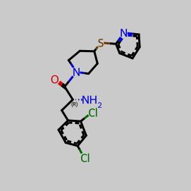 N[C@H](Cc1ccc(Cl)cc1Cl)C(=O)N1CCC(Sc2ccccn2)CC1